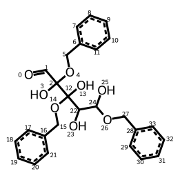 O=CC(O)(OCc1ccccc1)C(O)(OCc1ccccc1)C(O)C(O)OCc1ccccc1